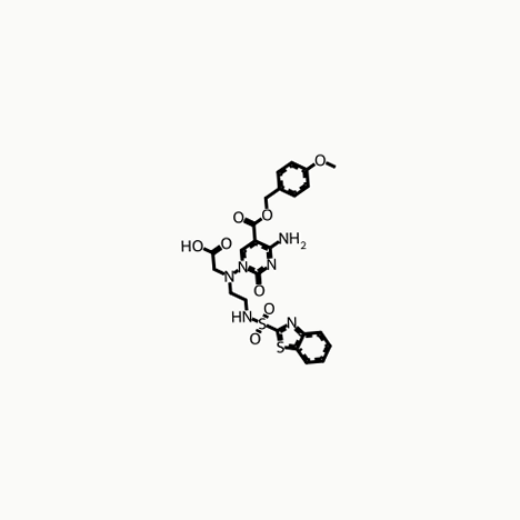 COc1ccc(COC(=O)c2cn(N(CCNS(=O)(=O)c3nc4ccccc4s3)CC(=O)O)c(=O)nc2N)cc1